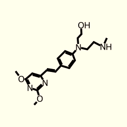 CNCCN(CCO)c1ccc(/C=C/c2cc(OC)nc(OC)n2)cc1